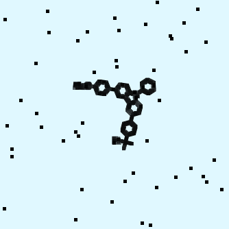 CCC(C)(C)c1ccc(-c2ccc3c(c2)c2cc(-c4ccc(OC)cc4)ccc2n3-c2ccccc2)cc1